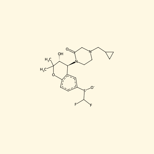 CC1(C)Oc2ccc([S+]([O-])C(F)F)cc2[C@H](N2CCN(CC3CC3)CC2=O)[C@H]1O